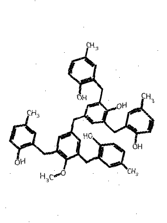 COc1c(Cc2cc(C)ccc2O)cc(Cc2cc(Cc3cc(C)ccc3O)c(O)c(Cc3cc(C)ccc3O)c2)cc1Cc1cc(C)ccc1O